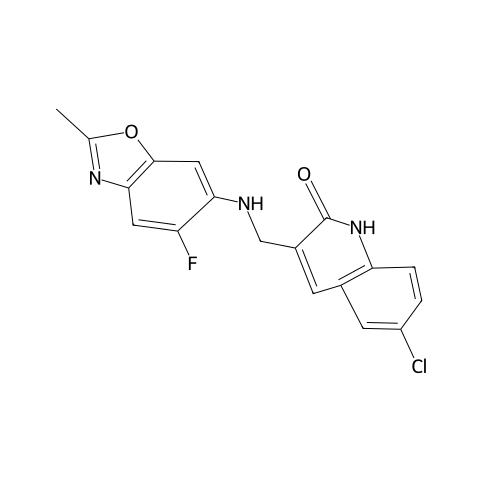 Cc1nc2cc(F)c(NCc3cc4cc(Cl)ccc4[nH]c3=O)cc2o1